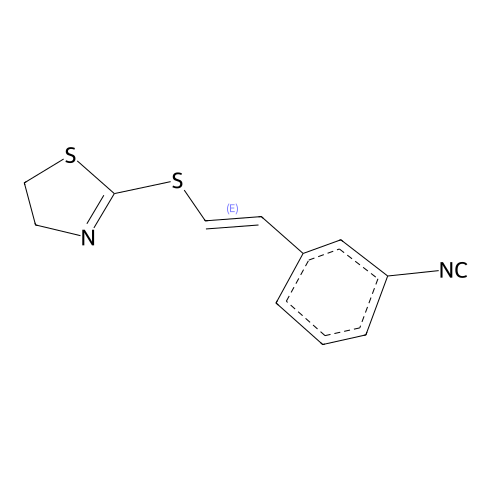 [C-]#[N+]c1cccc(/C=C/SC2=NCCS2)c1